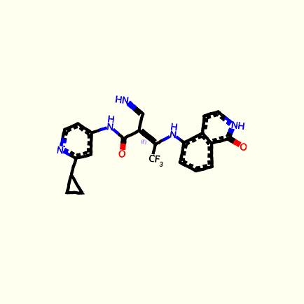 N=C/C(C(=O)Nc1ccnc(C2CC2)c1)=C(\Nc1cccc2c(=O)[nH]ccc12)C(F)(F)F